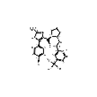 Cc1nc(C(=O)N2CCC[C@H]2CNc2cc(C(F)(F)F)ncn2)c(-c2ccc(F)cc2)s1